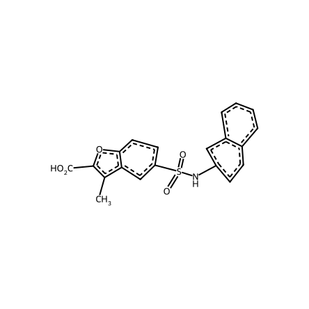 Cc1c(C(=O)O)oc2ccc(S(=O)(=O)Nc3ccc4ccccc4c3)cc12